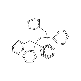 c1ccc(CC(OC(Cc2ccccc2)(c2ccccc2)c2ccccc2)(c2ccccc2)c2ccccc2)cc1